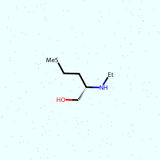 CCN[C@H](CO)CCSC